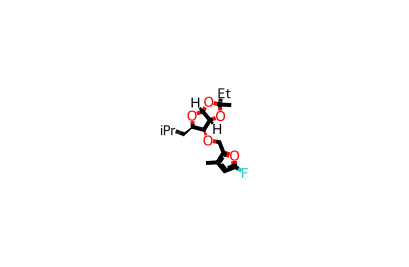 CCC1(C)O[C@H]2O[C@H](CC(C)C)[C@H](OCc3oc(F)cc3C)[C@H]2O1